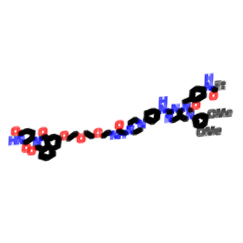 CCC(=O)Nc1ccc(CN2C(=O)N(c3cc(OC)cc(OC)c3)Cc3cnc(Nc4ccc(N5CCN(CC(=O)NCCOCCOCCOc6cc7c8c(cccc8c6)C(=O)N(C6CCC(=O)NC6=O)C7=O)CC5)cc4)nc32)cc1